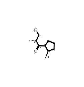 CC(=O)[C@@H]1CCCC1C(=O)[C@H](C)CS